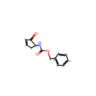 O=C(NC1CC=CC1=O)OCc1ccccc1